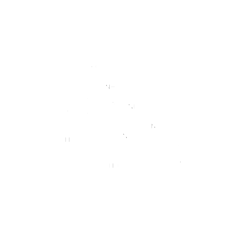 CCC(=O)c1ccccc1S(=O)(=O)NC(=O)Nc1nc(C)cc(OC)n1